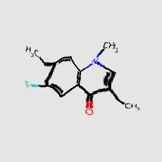 Cc1cc2c(cc1F)c(=O)c(C)cn2C